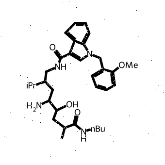 CCCCNC(=O)C(C)CC(O)C(N)CC(CNC(=O)c1cn(Cc2ccccc2OC)c2ccccc12)C(C)C